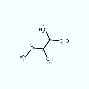 CCCOC(O)C(C)C=O